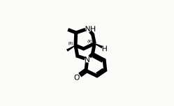 CC1NC[C@H]2C[C@]1(C)Cn1c2cccc1=O